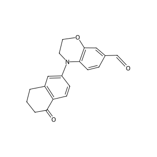 O=Cc1ccc2c(c1)OCCN2c1ccc2c(c1)CCCC2=O